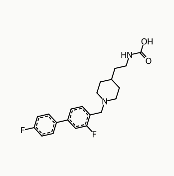 O=C(O)NCCC1CCN(Cc2ccc(-c3ccc(F)cc3)cc2F)CC1